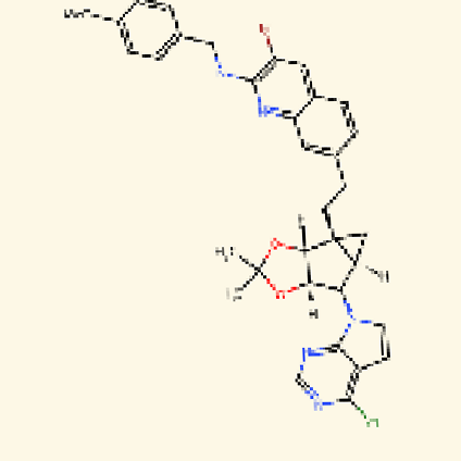 COc1ccc(CNc2nc3cc(CC[C@@]45C[C@H]4[C@@H](n4ccc6c(Cl)ncnc64)[C@H]4OC(C)(C)O[C@@H]45)ccc3cc2Br)cc1